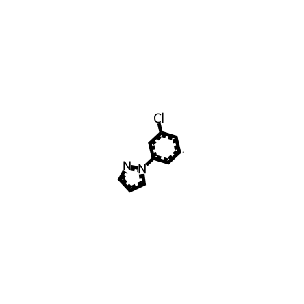 Clc1c[c]cc(-n2cccn2)c1